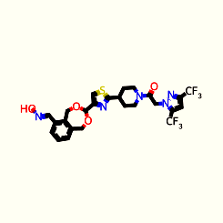 O=C(Cn1nc(C(F)(F)F)cc1C(F)(F)F)N1CCC(c2nc(C3OCc4cccc(C=NO)c4CO3)cs2)CC1